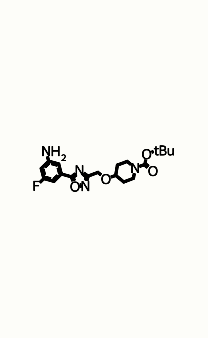 CC(C)(C)OC(=O)N1CCC(OCc2noc(-c3cc(N)cc(F)c3)n2)CC1